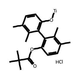 Cc1ccc([O][Ti])c(-c2c(OC(=O)C(C)(C)C)ccc(C)c2C)c1C.Cl